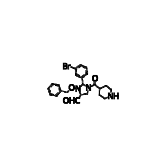 O=CC1CN(C(=O)C2CCNCC2)C(c2cccc(Br)c2)N1OCc1ccccc1